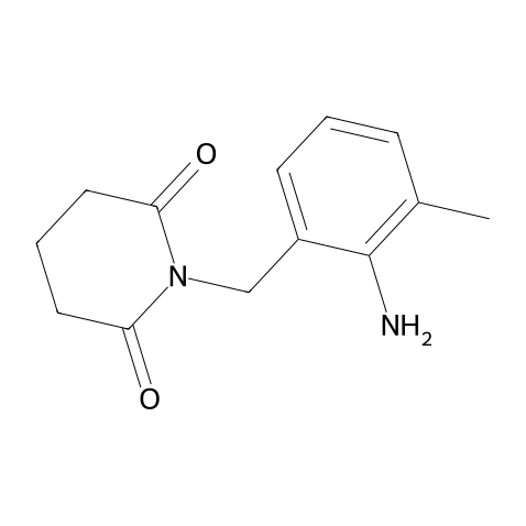 Cc1cccc(CN2C(=O)CCCC2=O)c1N